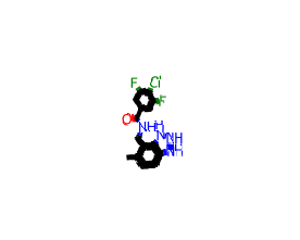 Cc1ccc2c(c1CNC(=O)c1cc(F)c(Cl)c(F)c1)NNN2